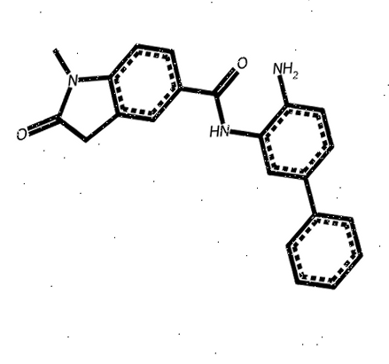 CN1C(=O)Cc2cc(C(=O)Nc3cc(-c4ccccc4)ccc3N)ccc21